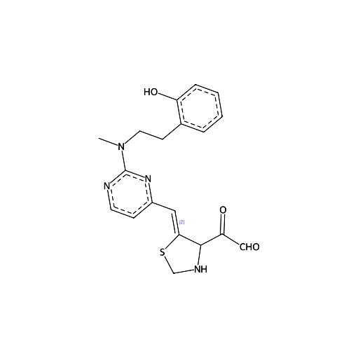 CN(CCc1ccccc1O)c1nccc(/C=C2\SCNC2C(=O)C=O)n1